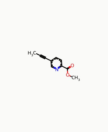 CC#Cc1ccc(C(=O)OC)nc1